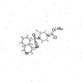 CC1CN(C(=O)OC(C)(C)C)CCN1S(=O)(=O)c1cccc2cncc(Br)c12